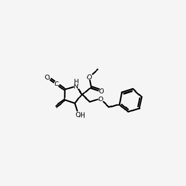 C=C1C(=C=O)NC(COCc2ccccc2)(C(=O)OC)C1O